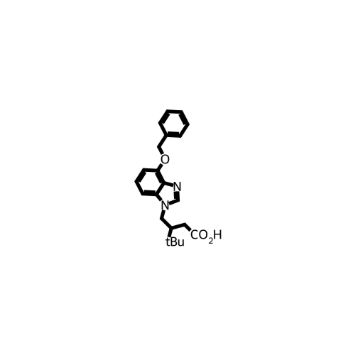 CC(C)(C)C(CC(=O)O)Cn1cnc2c(OCc3ccccc3)cccc21